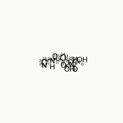 C[C@@H](O)[C@H]1C(=O)N2C(C(=O)O)=C(c3cccc(CC(=O)NCc4cccnc4)c3)C[C@H]12